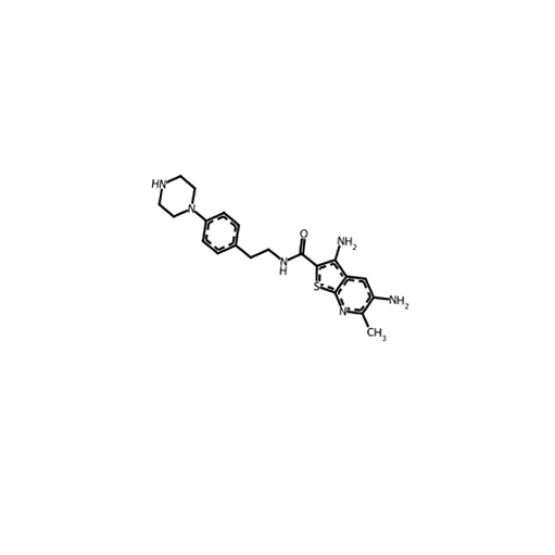 Cc1nc2sc(C(=O)NCCc3ccc(N4CCNCC4)cc3)c(N)c2cc1N